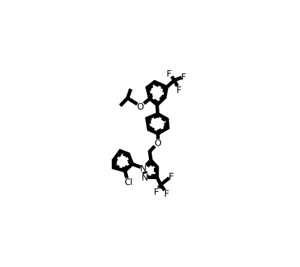 CC(C)Oc1ccc(C(F)(F)F)cc1-c1ccc(OCc2cc(C(F)(F)F)nn2-c2ccccc2Cl)cc1